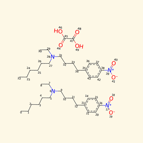 CCCCCCN(CC)CCCCc1ccc([N+](=O)[O-])cc1.CCCCCCN(CC)CCCCc1ccc([N+](=O)[O-])cc1.O=C(O)C(=O)O